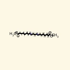 COC(=O)CCCCCC/C=C/CC/C=C/CCCCCCC(=O)OC